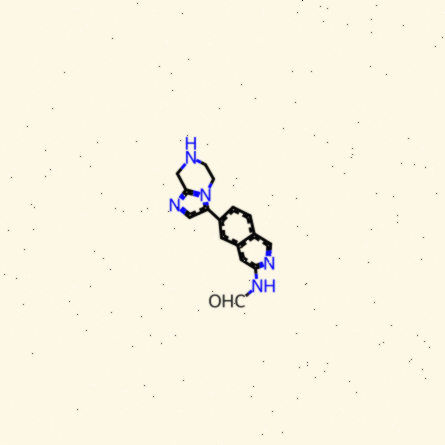 O=CNc1cc2cc(-c3cnc4n3CCNC4)ccc2cn1